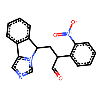 O=CC(CC1c2ccccc2-c2cncn21)c1ccccc1[N+](=O)[O-]